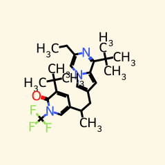 CCc1cn2cc(CC(C)c3cc(C(C)(C)C)c(=O)n(C(F)(F)F)c3)cc2c(C(C)(C)C)n1